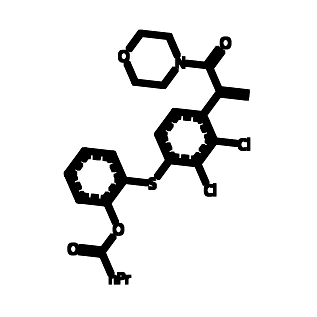 C=C(C(=O)N1CCOCC1)c1ccc(Sc2ccccc2OC(=O)CCC)c(Cl)c1Cl